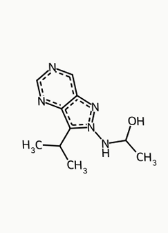 CC(O)Nn1nc2cncnc2c1C(C)C